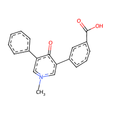 Cn1cc(-c2ccccc2)c(=O)c(-c2cccc(C(=O)O)c2)c1